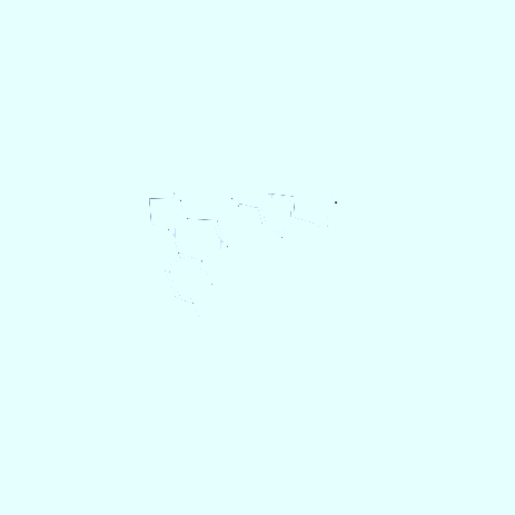 Fc1cc(NC2=Nc3cc(Cl)ccc3N3CCN=C23)ccc1OC(F)(F)F